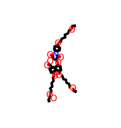 C=COCCCCCCOc1ccc(N2C(=O)C3OC(=O)c4ccc(OCCCCCCOC(=O)C=C)c5c(OCCCCCCOC=C)ccc(c45)OC3C2=O)cc1